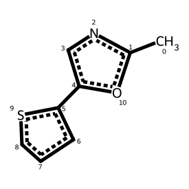 Cc1ncc(-c2cccs2)o1